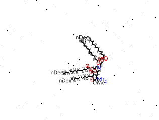 CCCCCCCCCCCCCCCCCCCCCC(=O)OCC(CN(CCCCC(N)C(=O)OC)CC(COC(=O)CCCCCCCCCCCCCCCCCCCCC)OC(=O)CCCCCCCCCCCCCCCCCCCCC)OC(=O)CCCCCCCCCCCCCCCCCCCCC